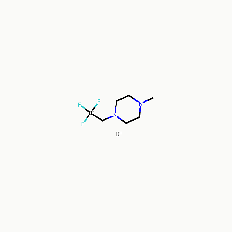 CN1CCN(C[B-](F)(F)F)CC1.[K+]